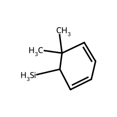 CC1(C)C=CC=CC1[SiH3]